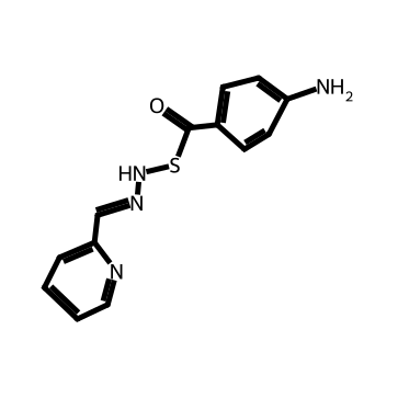 Nc1ccc(C(=O)SNN=Cc2ccccn2)cc1